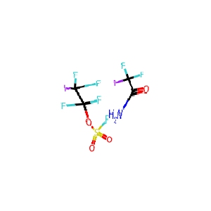 NC(=O)C(F)(F)I.O=S(=O)(F)OC(F)(F)C(F)(F)I